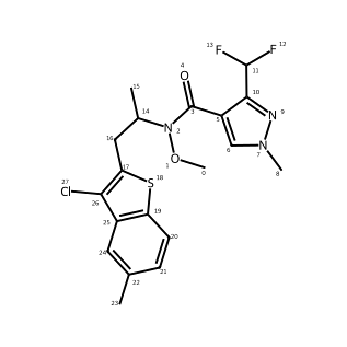 CON(C(=O)c1cn(C)nc1C(F)F)C(C)Cc1sc2ccc(C)cc2c1Cl